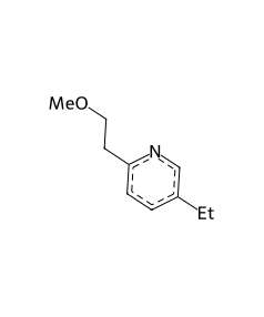 CCc1ccc(CCOC)nc1